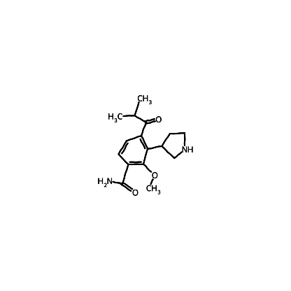 COc1c(C(N)=O)ccc(C(=O)C(C)C)c1C1CCNC1